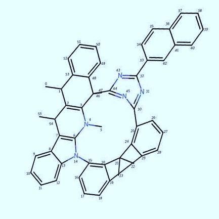 CC1C2=C3N(C)c4c(c5ccccc5n4-c4cccc5c4C(C)(C)c4c(cccc4-5)-c4nc(-c5ccc6ccccc6c5)nc(n4)C3(C)c3ccccc31)C2C